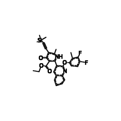 CCOC(=O)c1c(-c2cc3ccccc3nc2Oc2ccc(F)c(F)c2C)[nH]c(C)c(C#C[Si](C)(C)C)c1=O